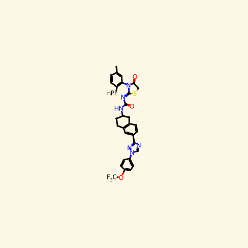 CCCc1ccc(C)cc1N1C(=O)CSC1=NC(=O)NC1CCc2cc(-c3ncn(-c4ccc(OC(F)(F)F)cc4)n3)ccc2C1